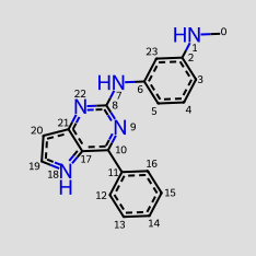 CNc1cccc(Nc2nc(-c3ccccc3)c3[nH]ccc3n2)c1